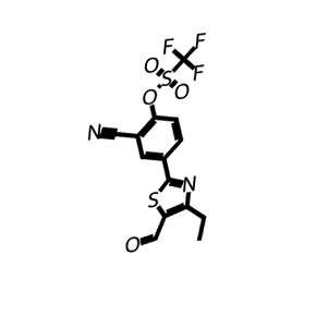 CCc1nc(-c2ccc(OS(=O)(=O)C(F)(F)F)c(C#N)c2)sc1C=O